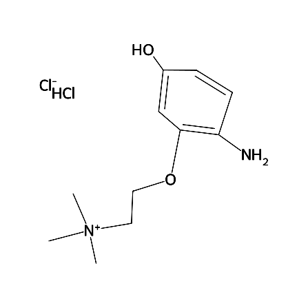 C[N+](C)(C)CCOc1cc(O)ccc1N.Cl.[Cl-]